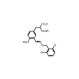 COc1ccc(CC(OC(C)C)C(=O)O)cc1/C=N/OCc1c(Cl)cccc1Cl